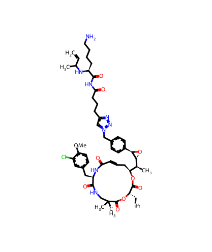 C=CC(C)N[C@@H](CCCCN)C(=O)NC(=O)CCCc1cn(Cc2ccc([C@H]3O[C@@H]3[C@@H](C)[C@@H]3C/C=C/C(=O)N[C@H](Cc4ccc(OC)c(Cl)c4)C(=O)NCC(C)(C)C(=O)O[C@@H](CC(C)C)C(=O)O3)cc2)nn1